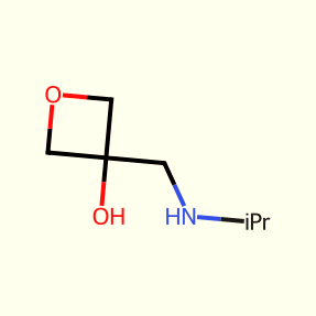 CC(C)NCC1(O)COC1